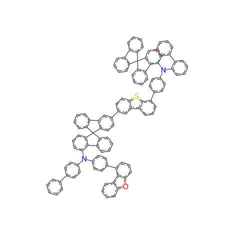 c1ccc(-c2ccc(N(c3ccc(-c4cccc5oc6ccccc6c45)cc3)c3cccc4c3-c3ccccc3C43c4ccccc4-c4cc(-c5ccc6sc7c(-c8ccc(N(c9ccccc9-c9ccccc9)c9cccc%10c9-c9ccccc9C%109c%10ccccc%10-c%10ccccc%109)cc8)cccc7c6c5)ccc43)cc2)cc1